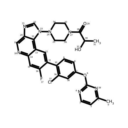 Cc1ccnc(Oc2ccc(-c3cc4c(cc3F)ncc3ncn(N5CCN(C(=O)C(C)O)CC5)c34)c(Cl)c2)n1